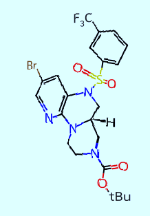 CC(C)(C)OC(=O)N1CCN2c3ncc(Br)cc3N(S(=O)(=O)c3cccc(C(F)(F)F)c3)C[C@@H]2C1